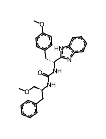 COC[C@H](Cc1ccccc1)NC(=O)N[C@H](Cc1ccc(OC)cc1)c1nc2ccccc2[nH]1